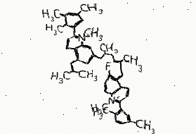 Cc1ccc(C)c(-c2ccc3c(CC(C)CCC(C)Cc4cc(CC(C)C)c5ccc(-c6cc(C)cc(C)c6C)[n+](C)c5c4)c(F)ccc3[n+]2C)c1